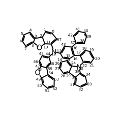 C1=CC2c3ccccc3OC2C(N(c2ccc(-c3ccccc3-n3c4ccccc4c4ccccc43)c(-c3ccccc3)c2)c2ccc3oc4ccccc4c3c2)=C1